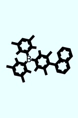 Cc1cc(C)c(C)c(B(c2c(C)c(C)cc(C)c2C)c2c(C)c(C)c(-c3cccc4ccccc34)c(C)c2C)c1C